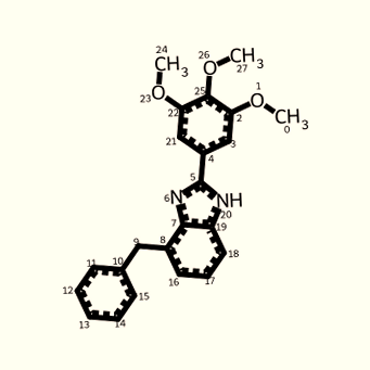 COc1cc(-c2nc3c(Cc4ccccc4)cccc3[nH]2)cc(OC)c1OC